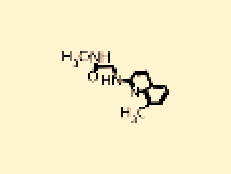 CNC(=O)CNc1ccc2cccc(C)c2n1